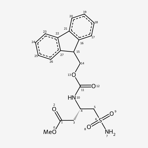 COC(=O)C[C@@H](CS(N)(=O)=O)NC(=O)OCC1c2ccccc2-c2ccccc21